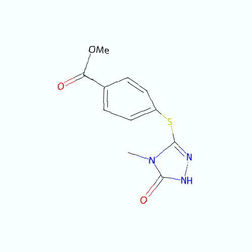 COC(=O)c1ccc(Sc2n[nH]c(=O)n2C)cc1